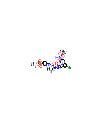 C[C@H](NC(=O)[C@@H]1Cc2cc(Br)cc3c2N1C(=O)[C@@H](NC(=O)OC(C)(C)C)CC3)C(=O)NCc1ccc(S(C)(=O)=O)cc1